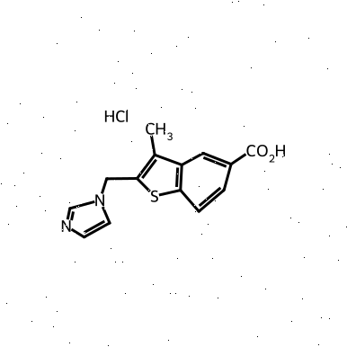 Cc1c(Cn2ccnc2)sc2ccc(C(=O)O)cc12.Cl